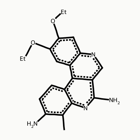 CCOc1cc2ncc3c(N)nc4c(C)c(N)ccc4c3c2cc1OCC